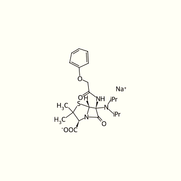 CC(C)N(C(C)C)[C@]1(NC(=O)COc2ccccc2)C(=O)N2[C@@H](C(=O)[O-])C(C)(C)S[C@@H]21.[Na+]